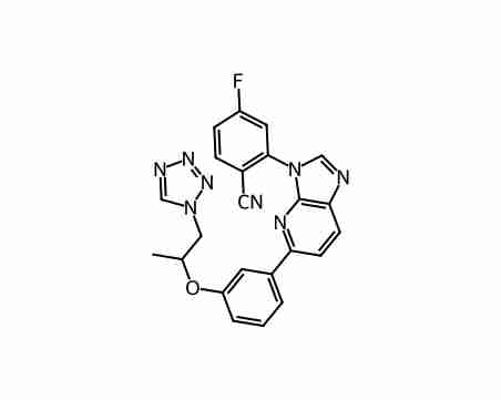 CC(Cn1cnnn1)Oc1cccc(-c2ccc3ncn(-c4cc(F)ccc4C#N)c3n2)c1